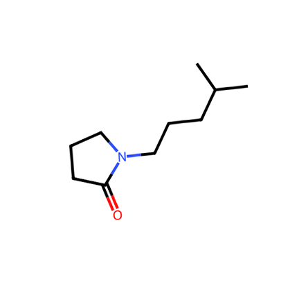 CC(C)CCCN1CCCC1=O